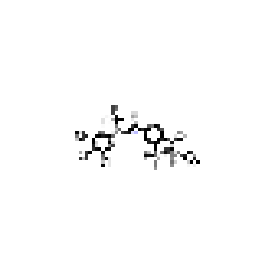 O=C(NC1CSC1)c1ccc(/C(F)=C/C(c2cc(Cl)c(Cl)c(Cl)c2)C(F)(F)F)cc1C(F)(F)F